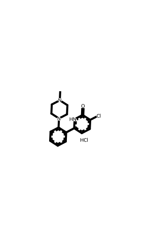 CN1CCN(c2ccccc2-c2ccc(Cl)c(=O)[nH]2)CC1.Cl